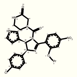 CC(C)Oc1cc([N+](=O)[O-])ccc1C1=N[C@@H](c2ccc(Cl)cc2)[C@@H](c2cc[nH]c2)N1C(=O)N1CCNC(=O)C1